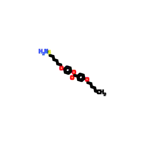 C=CCCCCOc1ccc(C(=O)Oc2ccc(OCCCCCCSN)cc2)cc1